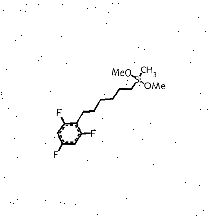 CO[Si](C)(CCCCCCc1c(F)cc(F)cc1F)OC